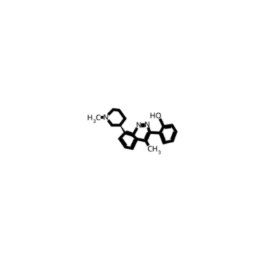 Cc1c(-c2ccccc2O)nnc2c([C@@H]3CCCN(C)C3)cccc12